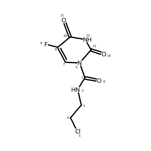 O=C(NCCCl)n1cc(F)c(=O)[nH]c1=O